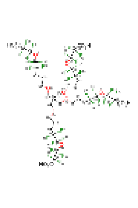 O=C(O)C(F)(F)C(F)(F)OC(F)(F)C(F)(F)CCCOCC(COCCCC(F)(F)C(F)(F)OC(F)(F)C(F)(F)C(=O)O)(COCCCC(F)(F)C(F)(F)OC(F)(F)C(F)(F)C(=O)O)COCCCC(F)(F)C(F)(F)OC(F)(F)C(F)(F)C(=O)O